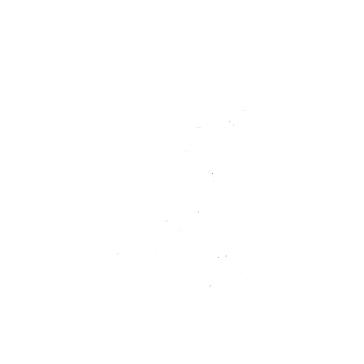 CC(C)N1CCN(CC2=C(c3ccc(Cl)cc3)CC(C)(C)CC2)CC1